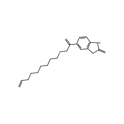 C=CCCCCCCCSCC(=C)c1ccc2c(c1)CC(=C)N2